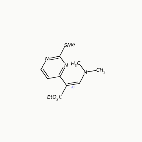 CCOC(=O)/C(=C/N(C)C)c1ccnc(SC)n1